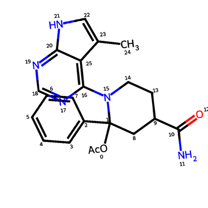 CC(=O)OC1(c2ccccc2)CC(C(N)=O)CCN1c1ncnc2[nH]cc(C)c12